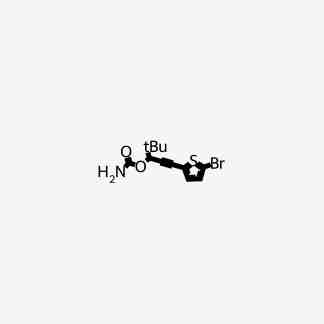 CC(C)(C)C(C#Cc1ccc(Br)s1)OC(N)=O